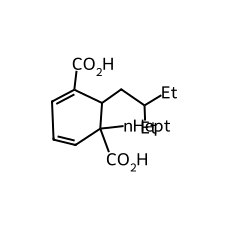 CCCCCCCC1(C(=O)O)C=CC=C(C(=O)O)C1CC(CC)CC